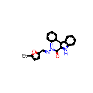 CCc1ccc(C=NNC(=O)c2[nH]c3ccccc3c2-c2ccccc2)o1